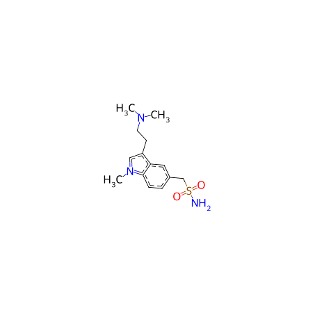 CN(C)CCc1cn(C)c2ccc(CS(N)(=O)=O)cc12